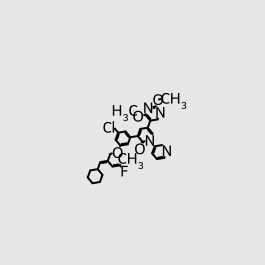 COc1ncc(-c2cc(-c3cc(Cl)cc(OCC(/C=C(\C)F)=C/C4CCCCC4)c3)c(=O)n(-c3cccnc3)c2)c(OC)n1